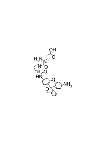 Nc1ccc2c(c1)Oc1cc(NC(=O)[C@@H]3CCCN3C(=O)[C@@H](N)CCC(=O)O)ccc1C21OCc2ccccc21